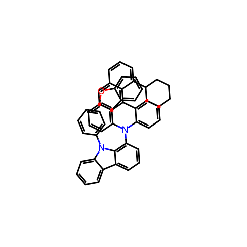 c1ccc(-n2c3ccccc3c3cccc(N(c4ccccc4-c4cccc5cccc(C6CCCCC6)c45)c4cccc5oc6ccccc6c45)c32)cc1